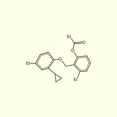 CCC(=O)Oc1cccc(CC)c1COc1ccc(CC)cc1C1CC1